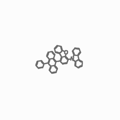 c1ccc(-c2c3ccccc3c(-c3ccc(-n4c5ccccc5c5ccccc54)c4oc5ccccc5c34)c3ccccc23)cc1